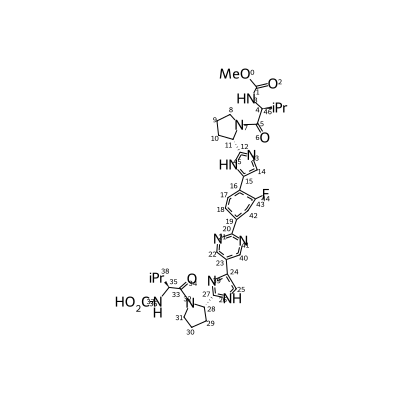 COC(=O)N[C@H](C(=O)N1CCC[C@H]1c1ncc(-c2ccc(-c3ncc(-c4c[nH]c([C@@H]5CCCN5C(=O)[C@@H](NC(=O)O)C(C)C)n4)cn3)cc2F)[nH]1)C(C)C